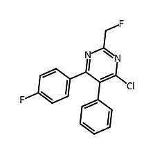 FCc1nc(Cl)c(-c2ccccc2)c(-c2ccc(F)cc2)n1